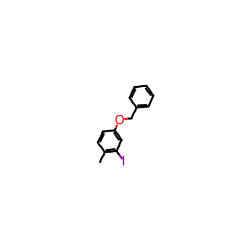 Cc1ccc(OCc2ccccc2)cc1I